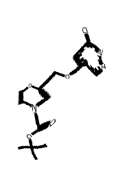 CC(C)(C)OC(=O)N1CCOC(COc2cnnc(Cl)c2)C1